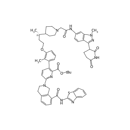 Cc1c(OCC[C@H](C)C2CCN(CC(=O)Nc3ccc4c(C5CCC(=O)NC5=O)nn(C)c4c3)CC2)cccc1-c1ccc(N2CCc3cccc(C(=O)Nc4nc5ccccc5s4)c3C2)nc1C(=O)OC(C)(C)C